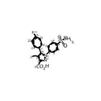 Cc1c(C(=O)O)nn(-c2ccc(S(N)(=O)=O)cc2)c1-c1ccc(F)cc1